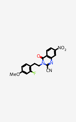 COc1ccc(CCn2c(C#N)nc3cc([N+](=O)[O-])ccc3c2=O)c(F)c1